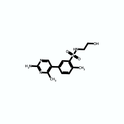 Cc1ccc(-c2cnc(N)nc2C)cc1S(=O)(=O)NCCO